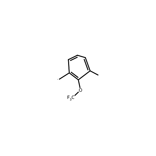 [CH2]c1cccc(C)c1OC(F)(F)F